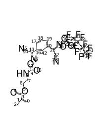 C=C(C)C(=O)OCCNC(=O)ON=C(C#N)c1cccc(C(C#N)=NOS(=O)(=O)C(F)(F)C(F)(F)C(F)(F)C(F)(F)F)c1